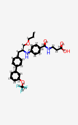 CCCOC[C@H](Cc1ccc(-c2cccc(OC(F)(F)F)c2)cc1)Nc1ccc(C(=O)NCCC(=O)O)cc1